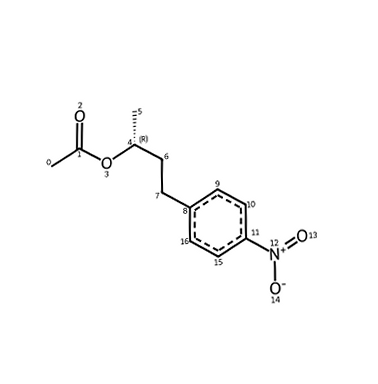 CC(=O)O[C@H](C)CCc1ccc([N+](=O)[O-])cc1